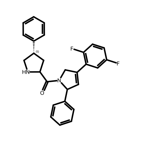 O=C(C1C[C@@H](c2ccccc2)CN1)N1CC(c2cc(F)ccc2F)=CC1c1ccccc1